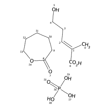 CC(=CCCO)C(=O)O.O=C1CCCCCO1.O=P(O)(O)O